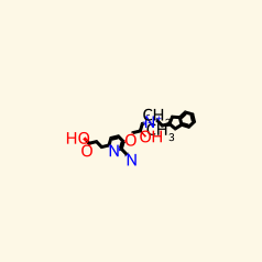 C[N+](C)(CCC1Cc2ccccc2C1)C[C@@H](O)COc1ccc(CCC(=O)O)nc1C#N